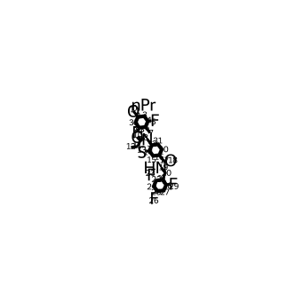 CCCOc1cc(F)c(CN2C(=O)C(C)Sc3cc(C(=O)NCc4c(F)cc(F)cc4F)ccc32)c(F)c1